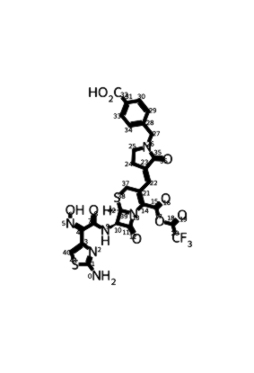 Nc1nc(/C(=N/O)C(=O)N[C@@H]2C(=O)N3C(C(=O)OC(=O)C(F)(F)F)=C(C=C4CCN(Cc5ccc(C(=O)O)cc5)C4=O)CS[C@H]23)cs1